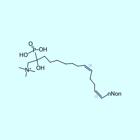 CCCCCCCCC/C=C\CC/C=C\CCCCCCC(O)(C[N+](C)(C)C)P(=O)(O)O